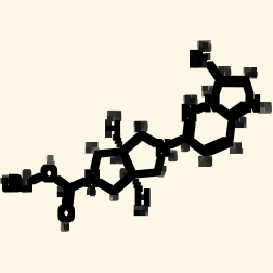 CC(C)(C)OC(=O)N1C[C@@H]2CN(c3ccc4ncc(Br)n4n3)C[C@@H]2C1